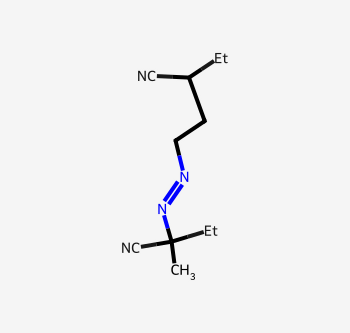 CCC(C#N)CCN=NC(C)(C#N)CC